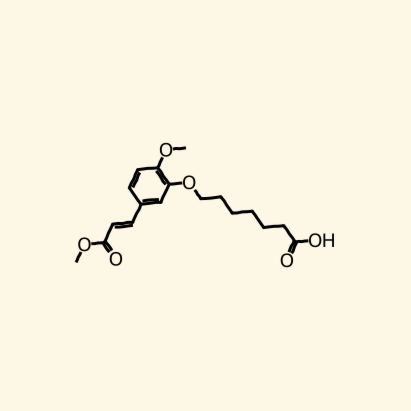 COC(=O)/C=C/c1ccc(OC)c(OCCCCCCC(=O)O)c1